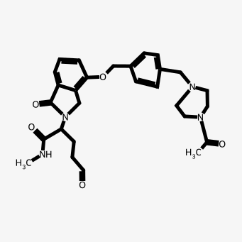 CNC(=O)C(CCC=O)N1Cc2c(OCc3ccc(CN4CCN(C(C)=O)CC4)cc3)cccc2C1=O